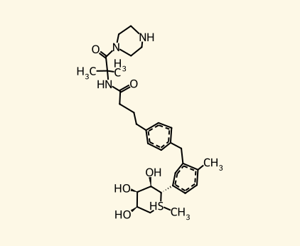 Cc1ccc([C@H]2[C@H](O)[C@H](O)[C@H](O)C[SH]2C)cc1Cc1ccc(CCCC(=O)NC(C)(C)C(=O)N2CCNCC2)cc1